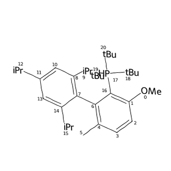 COc1ccc(C)c(-c2c(C(C)C)cc(C(C)C)cc2C(C)C)c1[PH](C(C)(C)C)(C(C)(C)C)C(C)(C)C